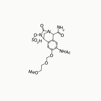 COCCOCOc1cc2c(cc1NC(C)=O)C(C(N)=O)N1CC2N(OS(=O)(=O)O)C1=O